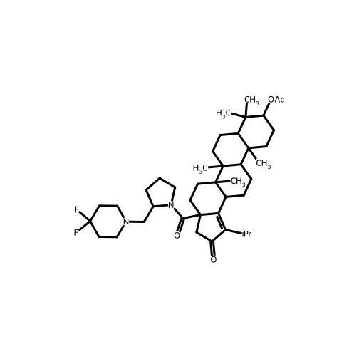 CC(=O)OC1CCC2(C)C(CCC3(C)C2CCC2C4=C(C(C)C)C(=O)CC4(C(=O)N4CCCC4CN4CCC(F)(F)CC4)CCC23C)C1(C)C